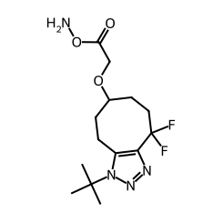 CC(C)(C)n1nnc2c1CCC(OCC(=O)ON)CCC2(F)F